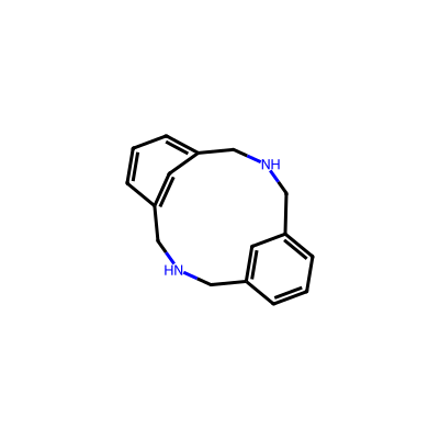 c1cc2cc(c1)CNCc1cccc(c1)CNC2